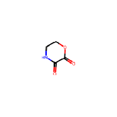 O=C1NCCOC1=O